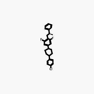 C[C@@H](Cc1c(F)cc(C2CCC(c3ccc(Cl)cc3)CC2)cc1F)c1ccccc1